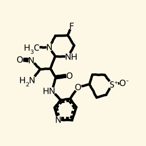 CN1CC(F)CNC1C(C(=O)Nc1cnccc1OC1CC[S+]([O-])CC1)C(N)N=O